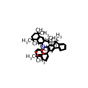 CC(C)c1cc2c(cc1N(c1ccccc1)c1cc3c(cc1-c1cccc4c1C(C)(C)CCC4(C)C)-c1ccccc1C3(C)C)C(C)(C)CCC2(C)C